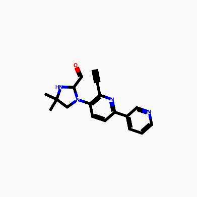 C#Cc1nc(-c2cccnc2)ccc1N1CC(C)(C)NC1C=O